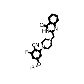 CC(C)Oc1cc(F)c(C#N)c(N2CCN(Cc3nc4ccccc4c(=O)[nH]3)CC2)c1